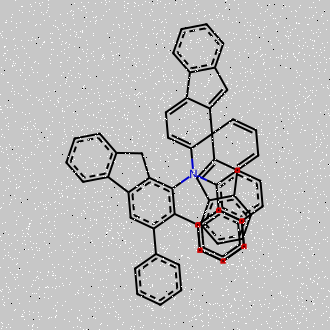 C1=CC2(C3=Cc4ccccc4C3=C1)C1=Cc3ccccc3C1=CC=C2N(c1c2c(cc(-c3ccccc3)c1-c1ccccc1)-c1ccccc1C2)c1cccc2ccccc12